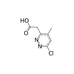 Cc1cc(Cl)nnc1CC(=O)O